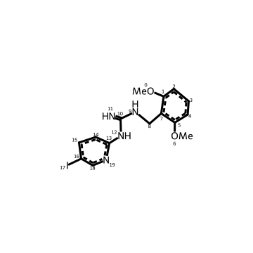 COc1cccc(OC)c1CNC(=N)Nc1ccc(I)cn1